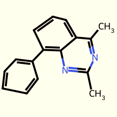 Cc1nc(C)c2cccc(-c3ccccc3)c2n1